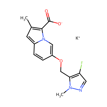 Cc1cc2ccc(OCc3c(F)cnn3C)cn2c1C(=O)[O-].[K+]